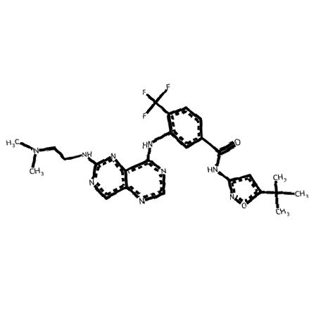 CN(C)CCNc1ncc2ncnc(Nc3cc(C(=O)Nc4cc(C(C)(C)C)on4)ccc3C(F)(F)F)c2n1